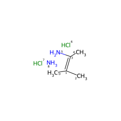 CC(C)=C(C)N.Cl.Cl.N